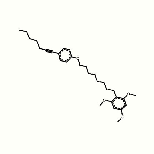 CCCCCC#Cc1ccc(OCCCCCCCCc2c(OC)cc(OC)cc2OC)cc1